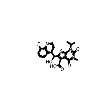 CC(C)n1c(=O)n(C)c(=O)c2c(C(=O)O)c(C(O)c3ccnc4c(F)cccc34)sc21